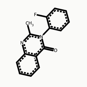 Cc1nc2ccccc2c(=O)n1-c1ccccc1F